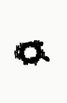 CC[C@@H]1NC(=O)[C@@H]2[C@@H]([C@H](C)CCCc3ccccc3)ON2C(=O)C(C(C)C)N(C)C(=O)[C@H](CC(C)C)N(C)C(=O)[C@H](CC(C)C)N(C)C(=O)[C@@H](C)NC(=O)[C@H](C)NC(=O)[C@H](CC(C)C)N(C)C(=O)C(C(C)C)NC(=O)C([C@@H](C)OCCCCN2CCOCC2)N(C)C(=O)[C@@H](C)N(C)C1=O